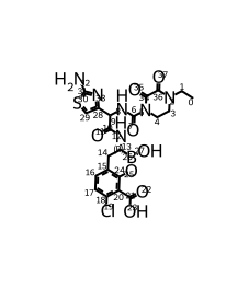 CCN1CCN(C(=O)NC(C(=O)N[C@H]2Cc3ccc(Cl)c(C(=O)O)c3OB2O)c2csc(N)n2)C(=O)C1=O